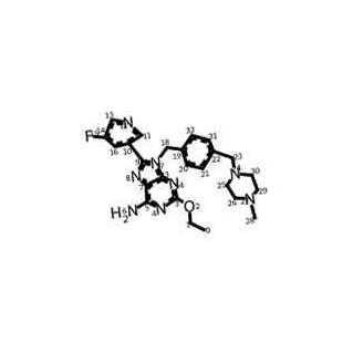 CCOc1nc(N)c2nc(-c3cncc(F)c3)n(Cc3ccc(CN4CCN(C)CC4)cc3)c2n1